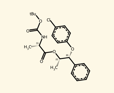 C[C@H](NC(=O)OC(C)(C)C)C(=O)O[C@@H](C)[C@H](Oc1ccc(Cl)cc1)c1ccccc1